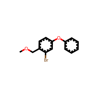 COCc1ccc(Oc2ccccc2)cc1Br